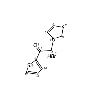 Br.O=C(CN1C=CSC1)c1cccs1